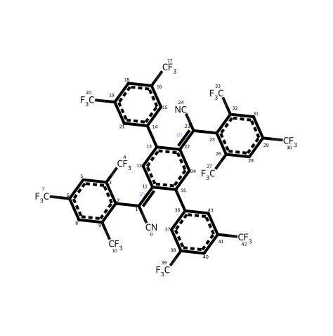 N#C/C(c1c(C(F)(F)F)cc(C(F)(F)F)cc1C(F)(F)F)=c1/cc(-c2cc(C(F)(F)F)cc(C(F)(F)F)c2)/c(=C(\C#N)c2c(C(F)(F)F)cc(C(F)(F)F)cc2C(F)(F)F)cc1-c1cc(C(F)(F)F)cc(C(F)(F)F)c1